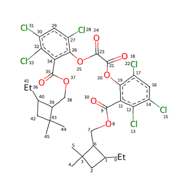 CCC1CC(C)(C)C1COC(=O)c1c(Cl)c(Cl)cc(Cl)c1OC(=O)C(=O)Oc1c(Cl)cc(Cl)c(Cl)c1C(=O)OCC1C(CC)CC1(C)C